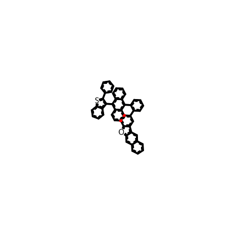 c1ccc(-c2sc3ccccc3c2-c2c3ccccc3c(-c3ccccc3-c3ccc4oc5cc6ccccc6cc5c4c3)c3ccccc23)cc1